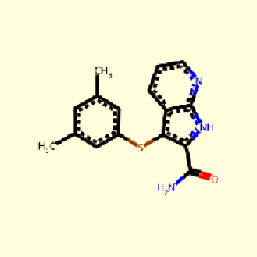 Cc1cc(C)cc(Sc2c(C(N)=O)[nH]c3ncccc23)c1